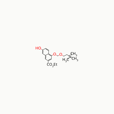 CCOC(=O)c1cc(OCOCC[Si](C)(C)C)c2ccc(O)cc2c1